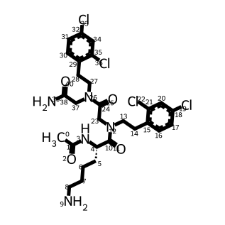 CC(=O)N[C@@H](CCCCN)C(=O)N(CCc1ccc(Cl)cc1Cl)CC(=O)N(CCc1ccc(Cl)cc1Cl)CC(N)=O